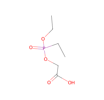 CCOP(=O)(CC)OCC(=O)O